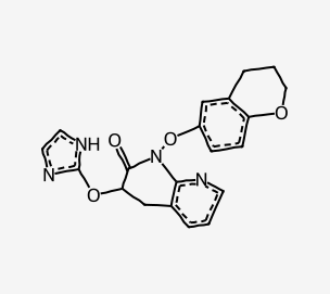 O=C1C(Oc2ncc[nH]2)Cc2cccnc2N1Oc1ccc2c(c1)CCCO2